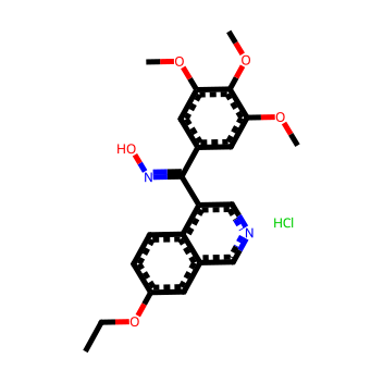 CCOc1ccc2c(C(=NO)c3cc(OC)c(OC)c(OC)c3)cncc2c1.Cl